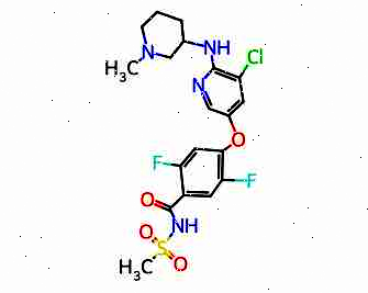 CN1CCCC(Nc2ncc(Oc3cc(F)c(C(=O)NS(C)(=O)=O)cc3F)cc2Cl)C1